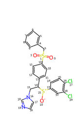 O=S(=O)(Cc1ccccc1)c1ccc(C(Cn2ccnc2)[S+]([O-])c2ccc(Cl)c(Cl)c2)cc1